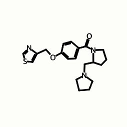 O=C(c1ccc(OCc2cscn2)cc1)N1CCCC1CN1CCCC1